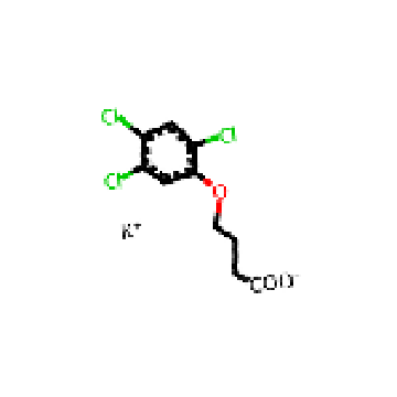 O=C([O-])CCCOc1cc(Cl)c(Cl)cc1Cl.[K+]